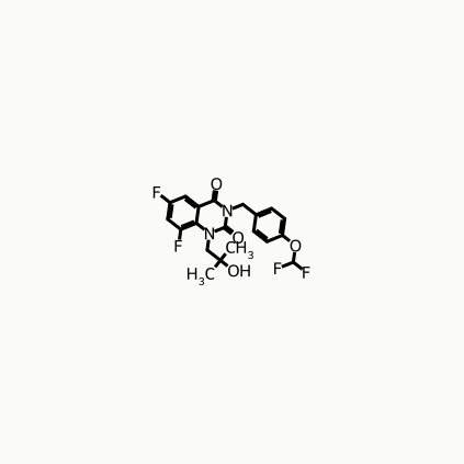 CC(C)(O)Cn1c(=O)n(Cc2ccc(OC(F)F)cc2)c(=O)c2cc(F)cc(F)c21